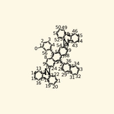 Cc1cccc(-c2c3ccc(-n4c5ccccc5c5ccccc54)cc3c(-c3ccc4ccccc4c3)c3ccc(-n4c5ccccc5c5ccccc54)cc23)c1